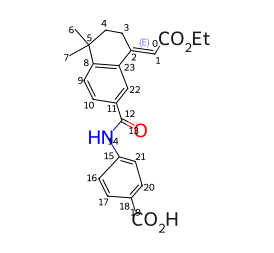 CCOC(=O)/C=C1\CCC(C)(C)c2ccc(C(=O)Nc3ccc(C(=O)O)cc3)cc21